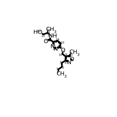 CCCCc1noc(C)c1COc1ccc(C(=O)N[C@H](C)CO)nn1